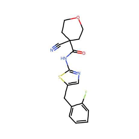 N#CC1(C(=O)Nc2ncc(Cc3ccccc3F)s2)CCOCC1